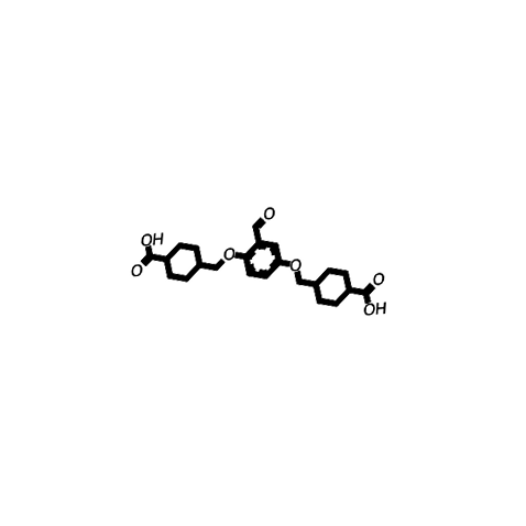 O=Cc1cc(OCC2CCC(C(=O)O)CC2)ccc1OCC1CCC(C(=O)O)CC1